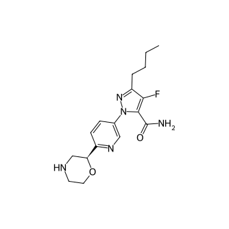 CCCCc1nn(-c2ccc([C@@H]3CNCCO3)nc2)c(C(N)=O)c1F